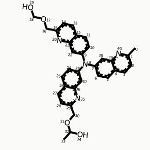 Cc1ccc2ccc(N(c3ccc4ccc(COCO)nc4c3)c3ccc4ccc(COC(C)O)nc4c3)cc2n1